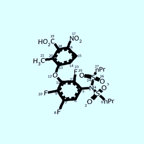 CCCS(=O)(=O)N(c1cc(F)c(F)c(Oc2ccc([N+](=O)[O-])c(C(=O)O)c2C)c1F)S(=O)(=O)CCC